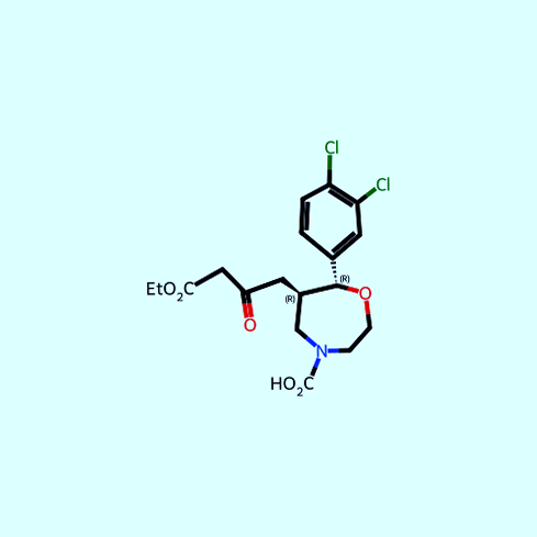 CCOC(=O)CC(=O)C[C@@H]1CN(C(=O)O)CCO[C@H]1c1ccc(Cl)c(Cl)c1